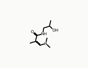 CC(=CN(C)C)C(=O)NCC(C)O